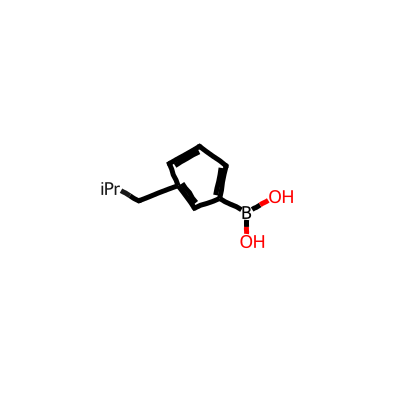 CC(C)Cc1cccc(B(O)O)c1